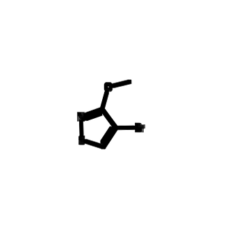 COc1nscc1Br